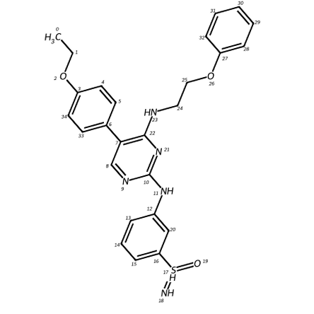 CCOc1ccc(-c2cnc(Nc3cccc([SH](=N)=O)c3)nc2NCCOc2ccccc2)cc1